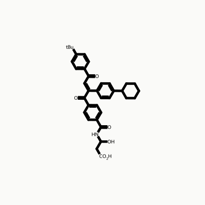 CC(C)(C)c1ccc(C(=O)C=C(C(=O)c2ccc(C(=O)NC(O)CC(=O)O)cc2)c2ccc(C3CCCCC3)cc2)cc1